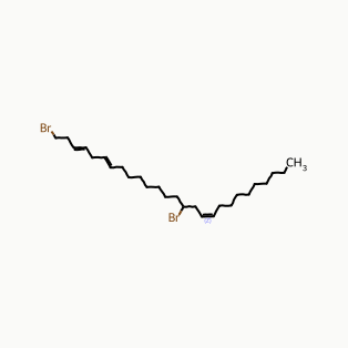 CCCCCCCCC/C=C\CC(Br)CCCCCCCC=CCC=CCCBr